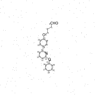 O=CCCCOc1ccc(-c2cccc(Oc3ccccc3)n2)cc1